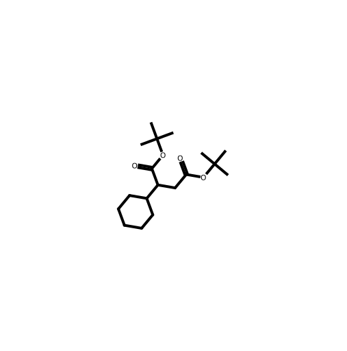 CC(C)(C)OC(=O)CC(C(=O)OC(C)(C)C)C1CCCCC1